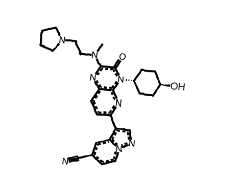 CN(CCN1CCCC1)c1nc2ccc(-c3cnn4ccc(C#N)cc34)nc2n([C@H]2CC[C@H](O)CC2)c1=O